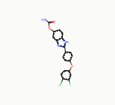 NC(=O)Oc1ccc2[nH]c(-c3ccc(Oc4ccc(Cl)c(F)c4)cc3)nc2c1